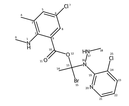 CNc1c(C)cc(Cl)cc1C(=O)OC(C)(Br)N(NC)c1ncccc1Cl